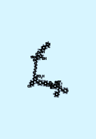 Cc1ncsc1-c1ccc([C@H](C)NC(=O)[C@@H]2C[C@@H](O)CN2C(=O)C(NC(=O)COCCOCCOCC[C@@H]2CC(c3ccc(Cl)cc3)=C(CN3CCN(c4ccc(C(=O)NS(=O)(=O)c5ccc(N[C@H](CCN6CCOCC6)CSc6ccccc6)c(S(=O)(=O)C(F)(F)F)c5)cc4)CC3)CN2C(=O)O)C(C)(C)C)cc1